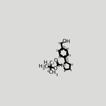 CC(C)(C)OC(=O)N1CCCC1c1ccc(CO)cc1